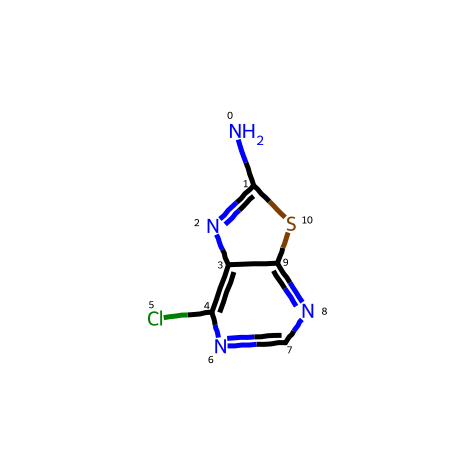 Nc1nc2c(Cl)ncnc2s1